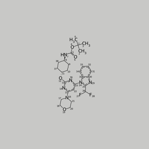 CC(C)(C)OC(=O)N[C@H]1CC[C@H](Oc2nc(N3CCOCC3)cc(-n3c(C(F)F)nc4ccccc43)n2)CC1